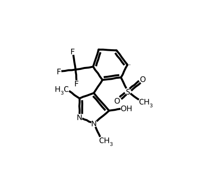 Cc1nn(C)c(O)c1-c1c(S(C)(=O)=O)[c]ccc1C(F)(F)F